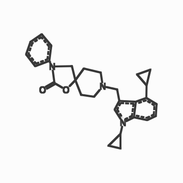 O=C1OC2(CCN(Cc3cn(C4CC4)c4cccc(C5CC5)c34)CC2)CN1c1ccccc1